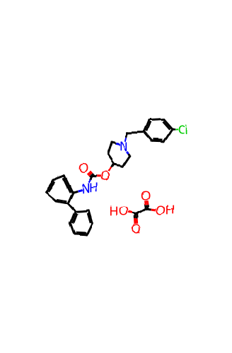 O=C(Nc1ccccc1-c1ccccc1)OC1CCN(Cc2ccc(Cl)cc2)CC1.O=C(O)C(=O)O